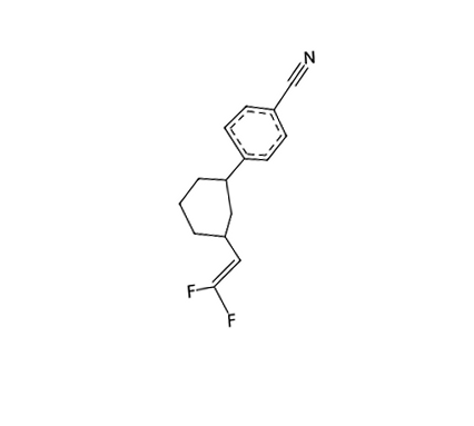 N#Cc1ccc(C2CCCC(C=C(F)F)C2)cc1